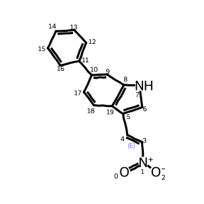 O=[N+]([O-])/C=C/c1c[nH]c2cc(-c3ccccc3)ccc12